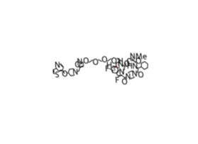 CN[C@@H](C)C(=O)NC(C(=O)N1CCN(C(=O)c2c(F)c3cc(F)ccc3n2CC(=O)N(C)CCOCCOCCOCCOc2cc(CN3CCC(Oc4ccnc5ccsc45)CC3)on2)CC1)C1CCCCC1